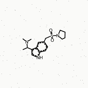 CC(c1c[nH]c2ccc(CS(=O)(=O)N3CCCC3)cc12)N(C)C